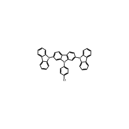 CCc1ccc(-n2c3cc(-n4c5ccccc5c5ccccc54)ccc3c3ccc(-n4c5ccccc5c5ccccc54)cc32)cc1